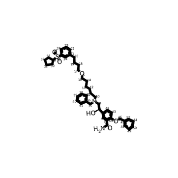 NC(=O)c1cc([C@@H](O)CN(CCCCCCOCCCCc2cccc(S(=O)(=O)C3CCCC3)c2)Cc2ccccc2)ccc1OCc1ccccc1